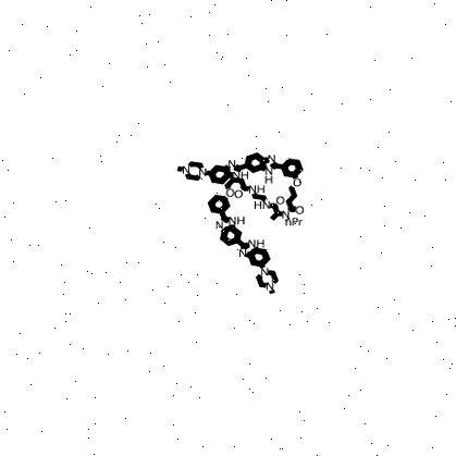 CCCN(C(=O)CCCOc1cccc(-c2nc3ccc(-c4nc5cc(N6CCN(C)CC6)ccc5[nH]4)cc3[nH]2)c1)C(C)C(=O)NCCNC(=O)CCCOc1cccc(-c2nc3ccc(-c4nc5cc(N6CCN(C)CC6)ccc5[nH]4)cc3[nH]2)c1